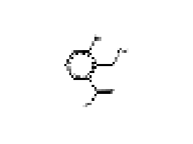 O=C(O)c1cccc(Br)c1CO